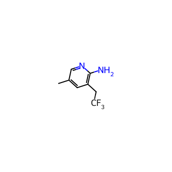 Cc1cnc(N)c(CC(F)(F)F)c1